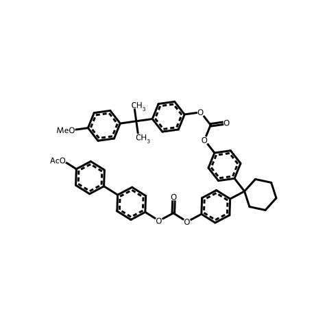 COc1ccc(C(C)(C)c2ccc(OC(=O)Oc3ccc(C4(c5ccc(OC(=O)Oc6ccc(-c7ccc(OC(C)=O)cc7)cc6)cc5)CCCCC4)cc3)cc2)cc1